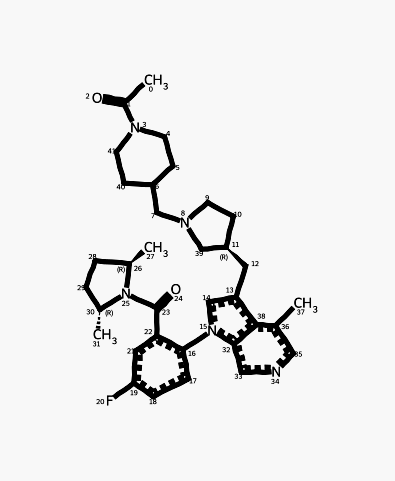 CC(=O)N1CCC(CN2CC[C@@H](Cc3cn(-c4ccc(F)cc4C(=O)N4[C@H](C)CC[C@H]4C)c4cncc(C)c34)C2)CC1